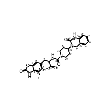 COC(=O)C(Cc1cc(I)c2[nH]c(=O)oc2c1)NC(=O)N1CCC(N2Cc3ccccc3NC2=O)CC1